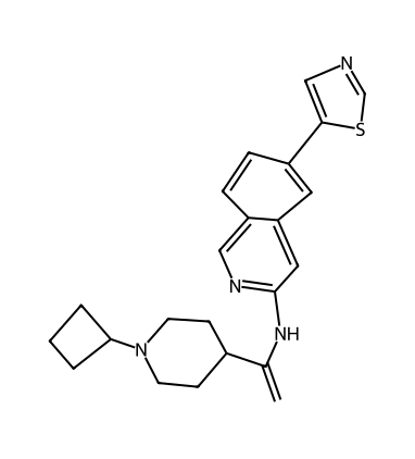 C=C(Nc1cc2cc(-c3cncs3)ccc2cn1)C1CCN(C2CCC2)CC1